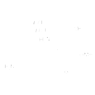 C#CC(N)(C=CCN)C(=O)OC.Cl.Cl